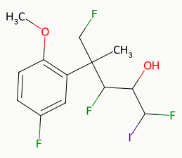 COc1ccc(F)cc1C(C)(CF)C(F)C(O)C(F)I